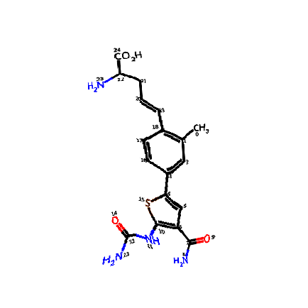 Cc1cc(-c2cc(C(N)=O)c(NC(N)=O)s2)ccc1/C=C/CC(N)C(=O)O